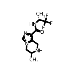 C[C@H]1Cn2cnc(C(=O)N[C@H](C)C(F)(F)F)c2CN1